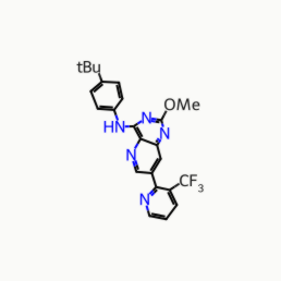 COc1nc(Nc2ccc(C(C)(C)C)cc2)c2ncc(-c3ncccc3C(F)(F)F)cc2n1